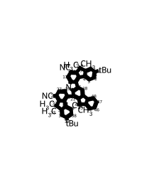 CC(C)(C)c1ccc2c(c1)C(C)(C)c1c(C#N)cc3c(c1-2)c1cc2c(c4c5c6c(c(C#N)cc5n3c14)C(C)(C)c1cc(C(C)(C)C)ccc1-6)C(C)(C)c1ccccc1-2